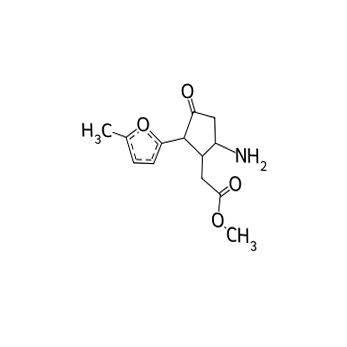 COC(=O)CC1C(N)CC(=O)C1c1ccc(C)o1